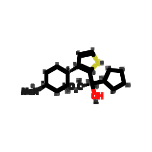 CN[C@H]1CC[C@H](c2ccsc2[C@@](O)(C(=O)O)C2CCCC2)CC1